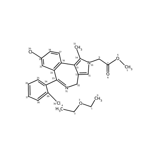 CCOCC.COC(=O)Cn1cc2c(c1C)-c1ccc(Cl)cc1C(c1ccccc1Cl)=NC2